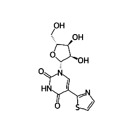 O=c1[nH]c(=O)n([C@@H]2O[C@H](CO)[C@@H](O)[C@H]2O)cc1-c1nccs1